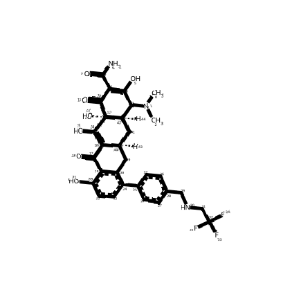 CN(C)C1C(O)=C(C(N)=O)C(=O)[C@]2(O)C(O)=C3C(=O)c4c(O)ccc(-c5ccc(CNCC(F)(F)F)cc5)c4C[C@@H]3C[C@H]12